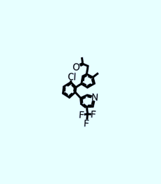 CC(=O)Cc1cc(-c2c(Cl)cccc2-c2cncc(C(F)(F)F)c2)ccc1C